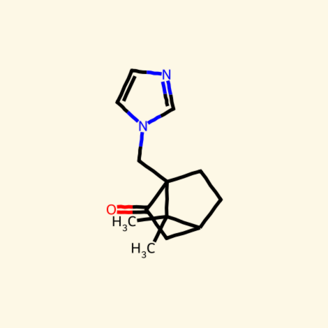 CC1(C)C2CCC1(Cn1ccnc1)C(=O)C2